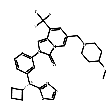 COC1CCN(Cc2cc(C(F)(F)F)c3cn(-c4cccc([C@H](c5nncs5)C5CCC5)c4)c(=O)n3c2)CC1